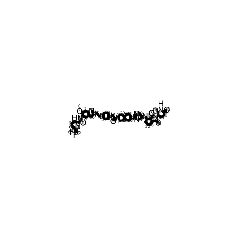 COc1cc2nn(CCN3CCN(CC(=O)N4CCC5(CC4)CCN(c4ncc(Nc6cccc7c6C(=O)N(C6CCC(=O)NC6=O)C7=O)cn4)CC5)CC3)cc2cc1NC(=O)c1cccc(C(F)(F)F)n1